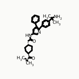 CN(C)C(=O)[C@H]1CC[C@H](CC(=O)Nc2cnc(-c3ccc(C(C)(C)N)cc3)c(-c3ccccc3)c2)CC1